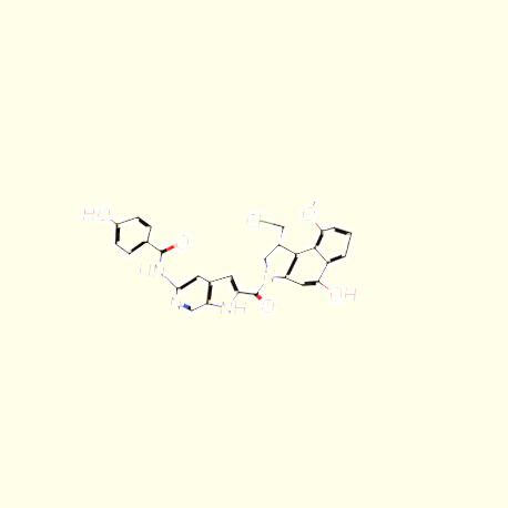 COc1cccc2c(O)cc3c(c12)[C@H](CCl)CN3C(=O)c1cc2cc(NC(=O)c3ccc(O)cc3)ncc2[nH]1